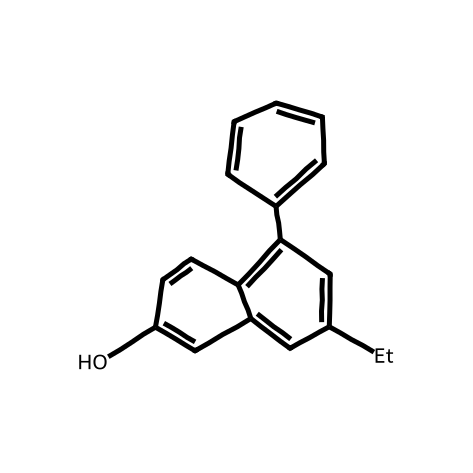 CCc1cc(-c2ccccc2)c2ccc(O)cc2c1